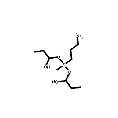 CCC(O)O[Si](C)(CCCN)OC(O)CC